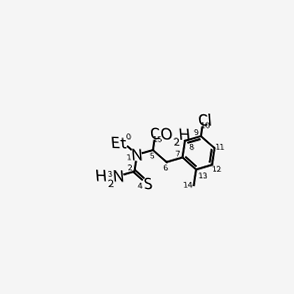 CCN(C(N)=S)C(Cc1cc(Cl)ccc1C)C(=O)O